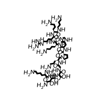 C[C@H](O)[C@H](NC(=O)[C@@H](NC(=O)[C@@H](N)CCCCN)[C@@H](O)CN)C(=O)NCC(=O)N[C@H](CCCN)C(=O)N1CCC[C@H]1C(=O)NC(Cc1cnc[nH]1)C(=O)N[C@@H](CCCCN)C(=O)N/C(=C\CCNC(=N)N)C(=O)N[C@@H](CCCCN)C(=O)NCCCCN